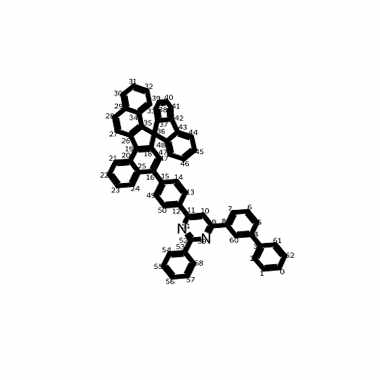 c1ccc(-c2cccc(-c3cc(-c4ccc(-c5cc6c(c7ccccc57)-c5ccc7ccccc7c5C65c6ccccc6-c6ccccc65)cc4)nc(-c4ccccc4)n3)c2)cc1